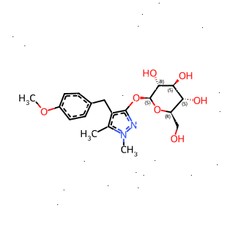 COc1ccc(Cc2c(O[C@@H]3O[C@H](CO)[C@@H](O)[C@H](O)[C@H]3O)nn(C)c2C)cc1